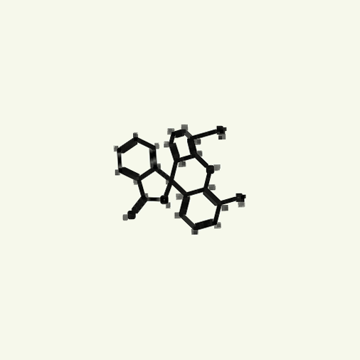 O=C1OC2(c3ccccc31)c1cccc(Br)c1Oc1c(Br)cccc12